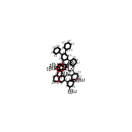 CC(C)(C)c1cc(-c2cccc(-c3cc(C(C)(C)C)cc(C(C)(C)C)c3)c2N2c3ccccc3N3c4cccc5c4[N+]4(c6c(ccc7c8ccccc8n(c67)-c6cc(C(C)(C)C)cc[n+]64)-c4cc(-c6ccccc6)c(-c6ccccc6)cc4-5)C32)cc(C(C)(C)C)c1